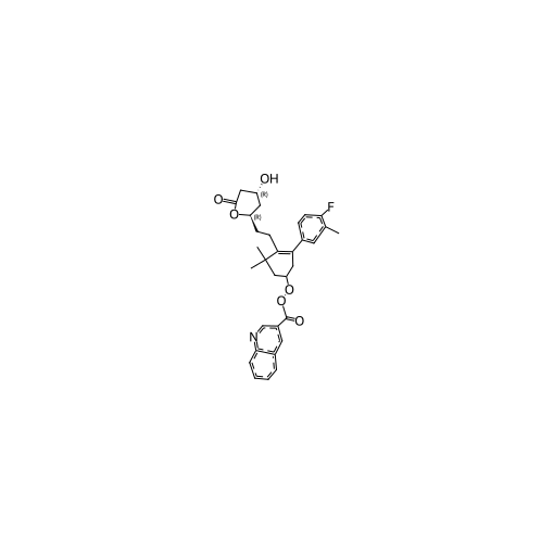 Cc1cc(C2=C(CC[C@@H]3C[C@@H](O)CC(=O)O3)C(C)(C)CC(OOC(=O)c3cnc4ccccc4c3)C2)ccc1F